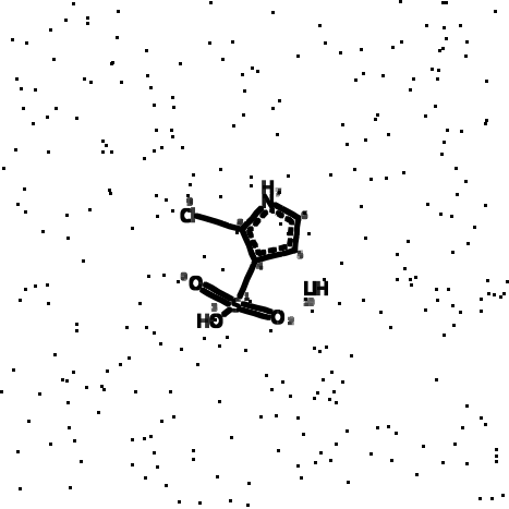 O=S(=O)(O)c1cc[nH]c1Cl.[LiH]